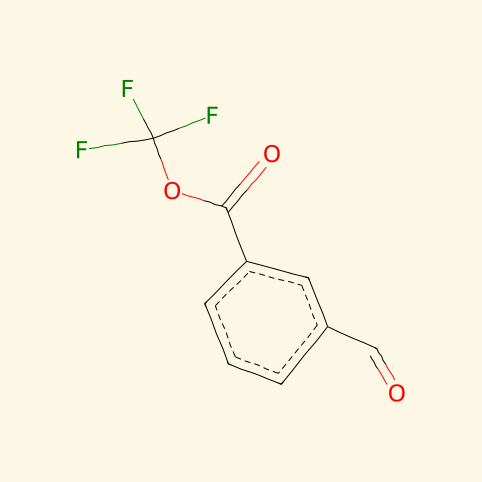 O=Cc1cccc(C(=O)OC(F)(F)F)c1